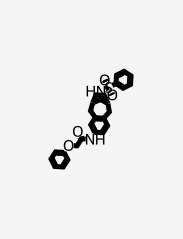 O=C(COc1ccccc1)Nc1ccc2c(c1)CC1CCC(C2)C1NS(=O)(=O)c1ccccc1